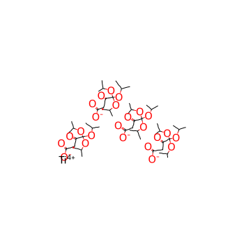 CC(C)OC(OC(C)C)(OC(C)C)C(=O)CC(=O)[O-].CC(C)OC(OC(C)C)(OC(C)C)C(=O)CC(=O)[O-].CC(C)OC(OC(C)C)(OC(C)C)C(=O)CC(=O)[O-].CC(C)OC(OC(C)C)(OC(C)C)C(=O)CC(=O)[O-].[Ti+4]